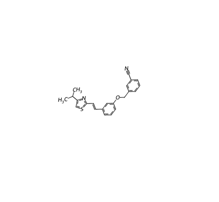 CC(C)c1csc(/C=C/c2cccc(OCc3cccc(C#N)c3)c2)n1